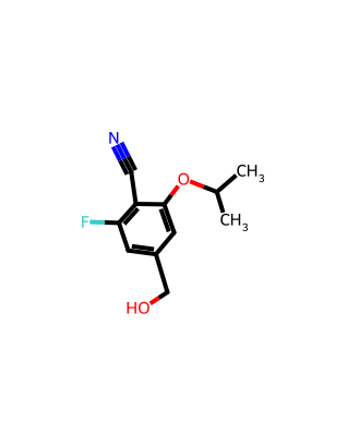 CC(C)Oc1cc(CO)cc(F)c1C#N